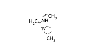 C=C(CN1CCC[C@H](C)C1)N/C=C\C